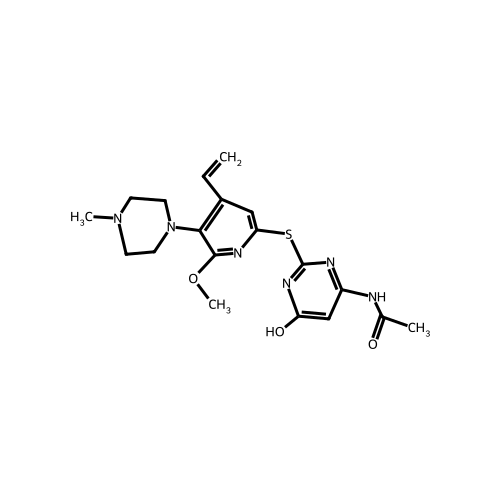 C=Cc1cc(Sc2nc(O)cc(NC(C)=O)n2)nc(OC)c1N1CCN(C)CC1